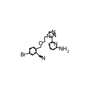 N#Cc1cc(Br)ccc1COCCn1cnnc1-c1cccc(N)n1